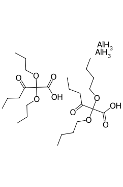 CCCCOC(OCCCC)(C(=O)O)C(=O)CCC.CCCOC(OCCC)(C(=O)O)C(=O)CCC.[AlH3].[AlH3]